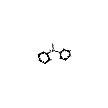 CC(=O)[SiH](c1ccccc1)c1ccccc1